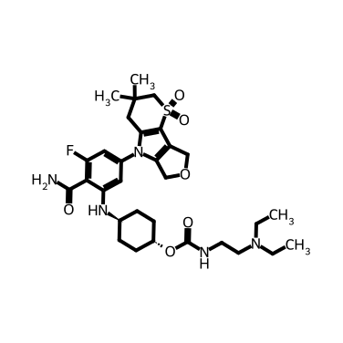 CCN(CC)CCNC(=O)O[C@H]1CC[C@H](Nc2cc(-n3c4c(c5c3CC(C)(C)CS5(=O)=O)COC4)cc(F)c2C(N)=O)CC1